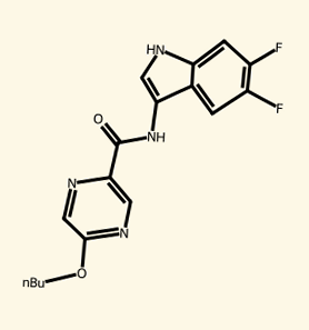 CCCCOc1cnc(C(=O)Nc2c[nH]c3cc(F)c(F)cc23)cn1